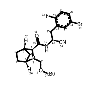 CC(C)(C)OCN1[C@@H]2CC[C@@H](C2)[C@H]1C(=O)N[C@H](C#N)Cc1cc(Br)ccc1F